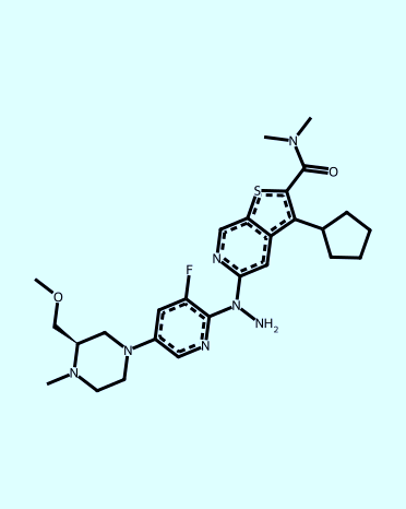 COC[C@H]1CN(c2cnc(N(N)c3cc4c(C5CCCC5)c(C(=O)N(C)C)sc4cn3)c(F)c2)CCN1C